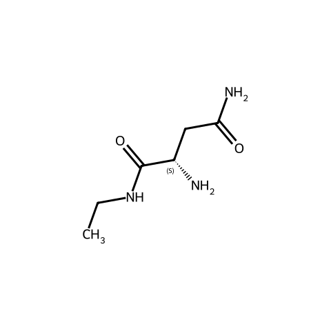 CCNC(=O)[C@@H](N)CC(N)=O